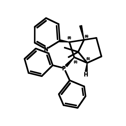 CC1(C)[C@@H]2CC[C@@]1(C)[C@H](c1ccccn1)[C@@H]2P(c1ccccc1)c1ccccc1